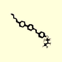 CCCCCC1CCC(c2ccc(CCc3ccc(OC(F)(F)C(F)C(F)(F)F)cc3)cc2)CC1